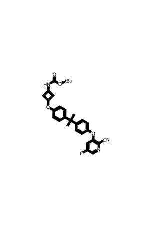 CC(C)(C)OC(=O)NC1CC(Oc2ccc(C(C)(C)c3ccc(Oc4cc(F)cnc4C#N)cc3)cc2)C1